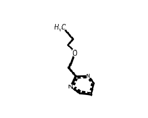 CCCOCc1nc[c]cn1